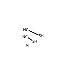 N#CS.N#CS.[Ni]